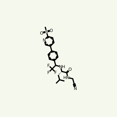 CC(C)C[C@H](NC(c1ccc(-c2ccc(S(C)(=O)=O)nc2)cc1)C(F)(F)F)C(=O)NCC#N